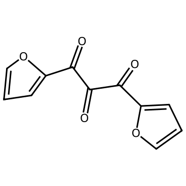 O=C(C(=O)c1ccco1)C(=O)c1ccco1